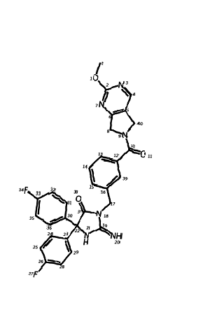 COc1ncc2c(n1)CN(C(=O)c1cccc(CN3C(=N)NC(c4ccc(F)cc4)(c4ccc(F)cc4)C3=O)c1)C2